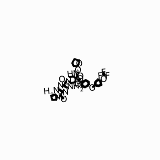 Nc1nc(C(=O)N2CCC(C(=O)NOC3CCCCO3)(S(=O)(=O)c3ccc(Oc4ccc(OC(F)(F)F)cc4)cc3)CC2)c(N)nc1C(=O)N1CCCC1